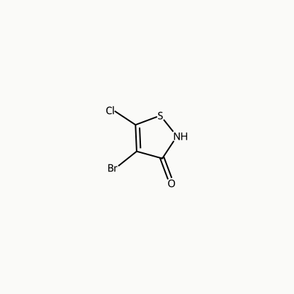 O=c1[nH]sc(Cl)c1Br